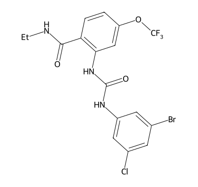 CCNC(=O)c1ccc(OC(F)(F)F)cc1NC(=O)Nc1cc(Cl)cc(Br)c1